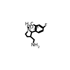 Cc1cc(F)ccc1C1C(CN)CCN1C(=O)O